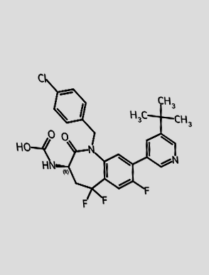 CC(C)(C)c1cncc(-c2cc3c(cc2F)C(F)(F)C[C@@H](NC(=O)O)C(=O)N3Cc2ccc(Cl)cc2)c1